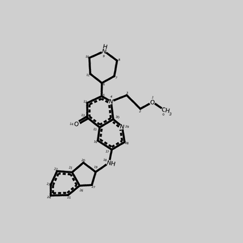 COCCn1c(C2CCNCC2)cc(=O)c2cc(NC3Cc4ccccc4C3)cnc21